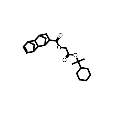 CC(C)(OC(=O)COC(=O)C1CC2CC1C1C3C=CC(C3)C21)C1CCCCC1